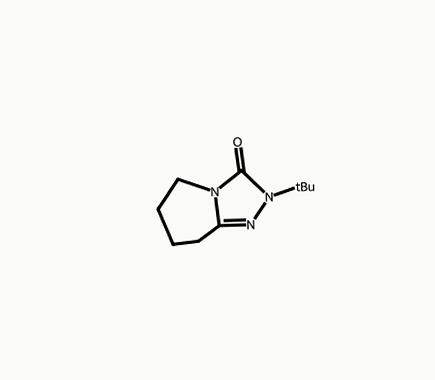 CC(C)(C)n1nc2n(c1=O)CCCC2